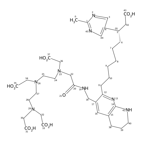 Cc1ncc([C@@H](CCCCCCc2nc3c(cc2CNC(=O)CN(CCN(CCN(CC(=O)O)CC(=O)O)CC(=O)O)CC(=O)O)CCCN3)CC(=O)O)cn1